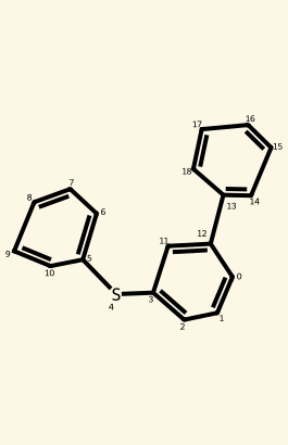 [c]1ccc(Sc2ccccc2)cc1-c1ccccc1